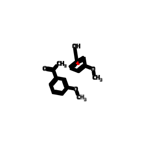 COc1cc2cc(O)c1CO2.COc1cccc(C(C)=O)c1